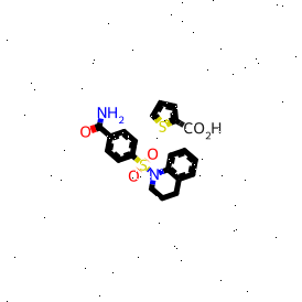 NC(=O)c1ccc(S(=O)(=O)N2CCCc3ccccc32)cc1.O=C(O)c1cccs1